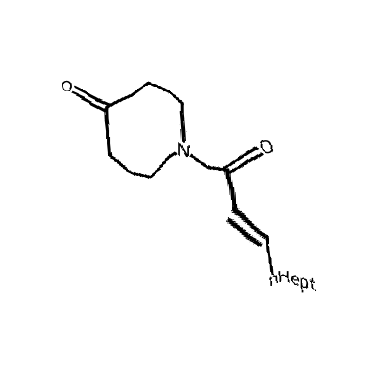 CCCCCCCC=CC(=O)N1CCC(=O)CC1